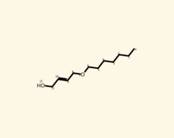 CCCCCCCOCC=CCO